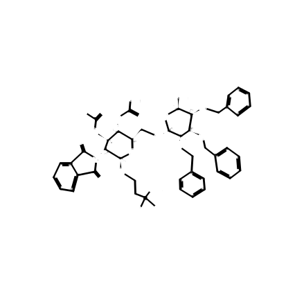 CC(=O)O[C@H]1[C@H](OC(C)=O)[C@@H](CO[C@@H]2O[C@@H](C)[C@@H](OCc3ccccc3)[C@@H](OCc3ccccc3)[C@@H]2OCc2ccccc2)O[C@@H](OCCC(C)(C)C)[C@@H]1N1C(=O)c2ccccc2C1=O